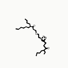 CCCCCCC(CCCC)C(=O)CCOCCn1cc(CCC(=O)C(CC)CCCC)nn1